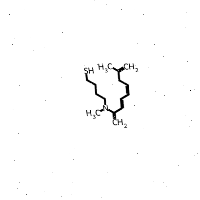 C=C(C)C/C=C\C=C\C(=C)N(C)CCCCS